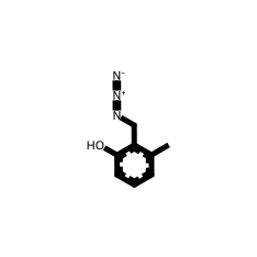 Cc1cccc(O)c1CN=[N+]=[N-]